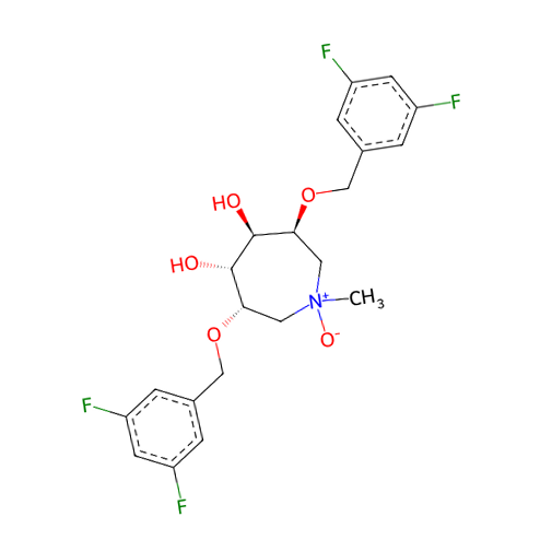 C[N+]1([O-])C[C@H](OCc2cc(F)cc(F)c2)[C@H](O)[C@@H](O)[C@@H](OCc2cc(F)cc(F)c2)C1